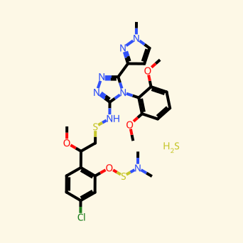 COc1cccc(OC)c1-n1c(NSCC(OC)c2ccc(Cl)cc2OSN(C)C)nnc1-c1ccn(C)n1.S